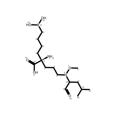 CON(CCC[C@@](N)(CCCCB(O)O)C(=O)O)C(C=O)CC(C)C